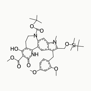 COC(=O)c1c(O)c2c([nH]c1=O)-c1cc3c(Cc4ccc(OC)cc4OC)c(CO[Si](C)(C)C(C)(C)C)n(C)c3cc1N(C(=O)OC(C)(C)C)CC2